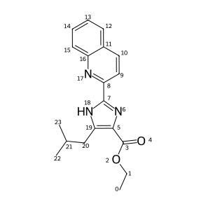 CCOC(=O)c1nc(-c2ccc3ccccc3n2)[nH]c1CC(C)C